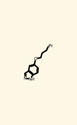 CC(C)CCCOc1ccc2[nH]ncc2c1